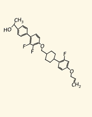 C=CCOc1ccc(C2CCC(COc3ccc(-c4ccc(C(C)O)cc4)c(F)c3F)CC2)c(F)c1